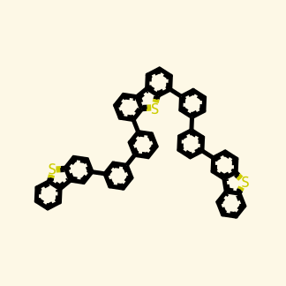 c1cc(-c2cccc(-c3cccc4c3sc3c(-c5cccc(-c6cccc(-c7ccc8sc9ccccc9c8c7)c6)c5)cccc34)c2)cc(-c2ccc3sc4ccccc4c3c2)c1